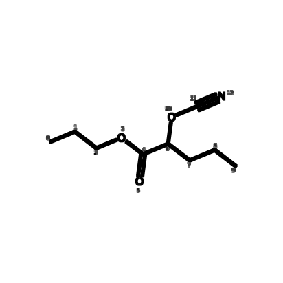 CCCOC(=O)C(CCC)OC#N